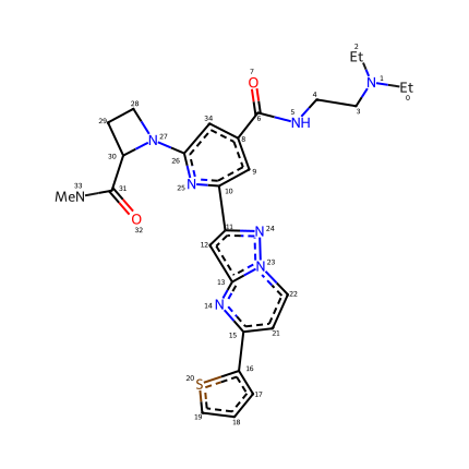 CCN(CC)CCNC(=O)c1cc(-c2cc3nc(-c4cccs4)ccn3n2)nc(N2CCC2C(=O)NC)c1